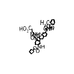 COc1cc(C(=O)NS(=O)(=O)c2ccccc2C)ccc1Cc1cn(C(=O)NCCC(=O)O)c2ccc(NC(=O)OC3CCCC3)cc12